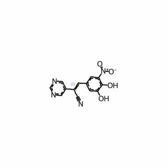 N#C/C(=C\c1cc(O)c(O)c([N+](=O)[O-])c1)c1cncnc1